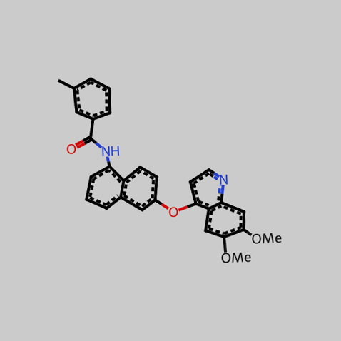 COc1cc2nccc(Oc3ccc4c(NC(=O)c5cccc(C)c5)cccc4c3)c2cc1OC